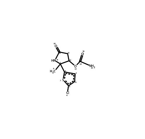 CC1(c2ccc(Cl)s2)NC(=O)CC1OC(N)=O